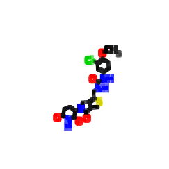 COc1ccc(NC(=O)NCc2scc3c2CN(C2CCC(=O)NC2=O)C3=O)cc1Cl